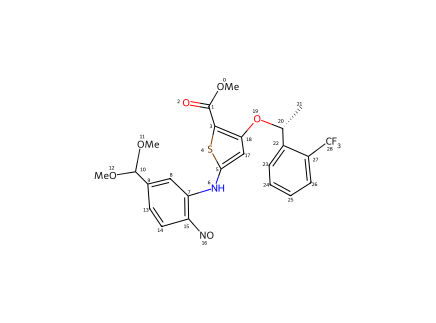 COC(=O)c1sc(Nc2cc(C(OC)OC)ccc2N=O)cc1O[C@H](C)c1ccccc1C(F)(F)F